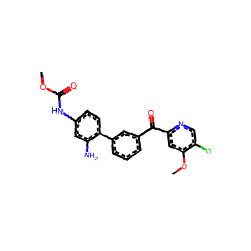 COC(=O)Nc1ccc(-c2cccc(C(=O)c3cc(OC)c(Cl)cn3)c2)c(N)c1